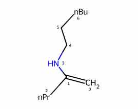 C=C(CCC)NCCCCCC